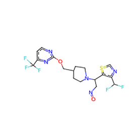 O=NCC(c1scnc1C(F)F)N1CCC(COc2nccc(C(F)(F)F)n2)CC1